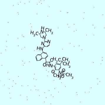 COc1c(NC(=O)C(=O)c2ccc(Nc3ccnc(N4CC(C)NC(C)C4)n3)c3ccccc23)cc(C(C)(C)C)cc1NS(C)(=O)=O